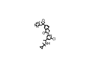 CC(NC(C)(C)C1CC1)c1cc(Cl)nc(N2Cc3ccc(C4(Cc5nncn5C)COC4)cc3C2=O)c1